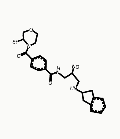 CCC1COCCN1C(=O)c1ccc(C(=O)NCC(CNC2Cc3ccccc3C2)N=O)cc1